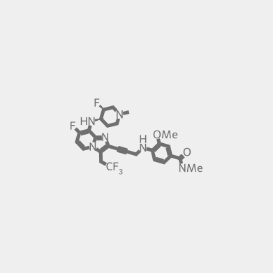 CNC(=O)c1ccc(NCC#Cc2nc3c(N[C@@H]4CCN(C)C[C@@H]4F)c(F)ccn3c2CC(F)(F)F)c(OC)c1